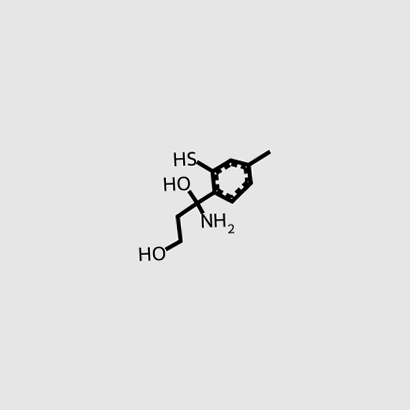 Cc1ccc(C(N)(O)CCO)c(S)c1